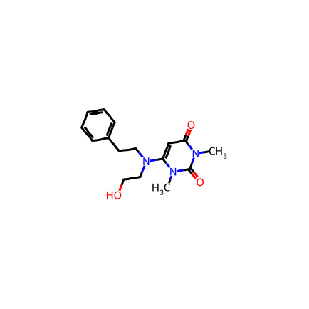 Cn1c(N(CCO)CCc2ccccc2)cc(=O)n(C)c1=O